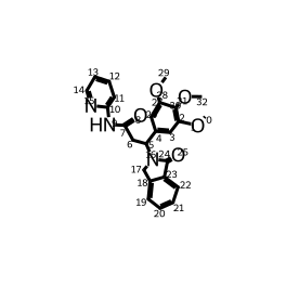 COc1cc(C(CC(=O)Nc2ccccn2)N2Cc3ccccc3C2=O)cc(OC)c1OC